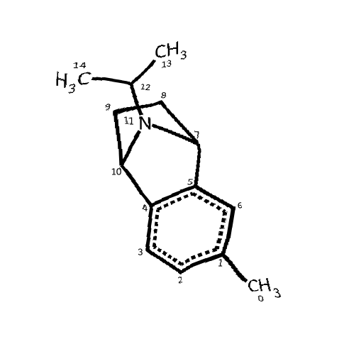 Cc1ccc2c(c1)C1CCC2N1C(C)C